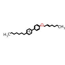 CCCCC=CCOc1ccc(C23CCC(CCCCCCC)(CC2)CC3)cc1